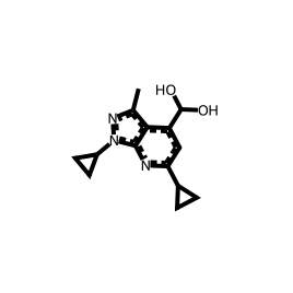 Cc1nn(C2CC2)c2nc(C3CC3)cc(C(O)O)c12